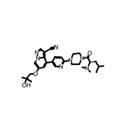 CC(C)C[C@H](C(=O)N1CCN(c2ccc(-c3cc(OCC(C)(C)O)cn4ncc(C#N)c34)cn2)CC1)N(C)C